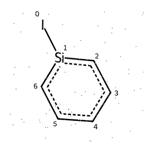 I[si]1ccccc1